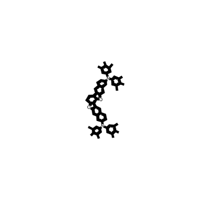 Cc1cc(N(c2cc(C)c(C)c(C)c2)c2ccc3cc4c(cc3c2)oc2c4ccc3oc4cc5cc(N(c6cc(C)c(C)c(C)c6)c6cc(C)c(C)c(C)c6)ccc5cc4c32)cc(C)c1C